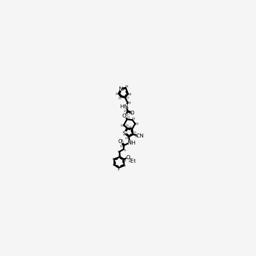 CCOc1ccccc1CCC(=O)Nc1sc2c(c1C#N)CCC(OC(=O)NCc1ccncc1)C2